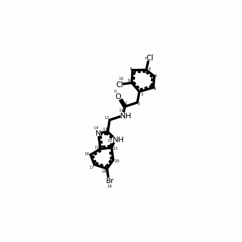 O=C(Cc1ccc(Cl)cc1Cl)NCc1nc2ccc(Br)cc2[nH]1